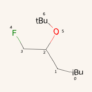 CCC(C)CC(CF)OC(C)(C)C